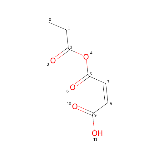 CCC(=O)OC(=O)/C=C\C(=O)O